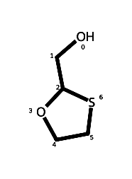 OCC1OCCS1